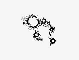 CC[C@H]1OC(=O)[C@H](C)[C@@H](OC[C@H]2C[C@@](C)(OC)[C@@H](O)[C@H](C)O2)[C@H](C)[C@@H](O[C@@H]2O[C@H](C)C[C@H](N(C)CCc3cn(CCOc4cccc(F)c4)nn3)[C@H]2O)[C@](C)(O)C[C@@H](C)CN(C)[C@H](C)[C@@H](O)[C@]1(C)O